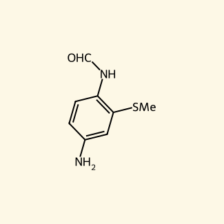 CSc1cc(N)ccc1NC=O